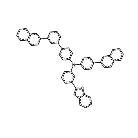 c1cc(-c2ccc(N(c3ccc(-c4ccc5ccccc5c4)cc3)c3cccc(-c4cc5ccccc5o4)c3)cc2)cc(-c2ccc3ccccc3c2)c1